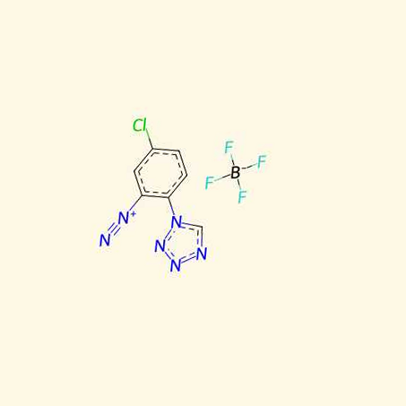 F[B-](F)(F)F.N#[N+]c1cc(Cl)ccc1-n1cnnn1